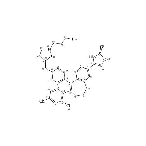 O=S1NC(c2ccc3c(c2)CCCC(c2ccc(Cl)cc2Cl)=C3c2ccc(C[C@H]3CCN(CCCF)C3)cc2)=NO1